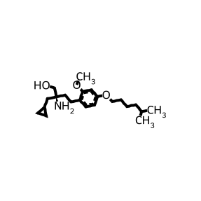 COc1cc(OCCCCC(C)C)ccc1CC[C@@](N)(CO)CC1CC1